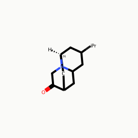 CC(C)C1CC2CC3C[C@H](C1)N2CC3=O